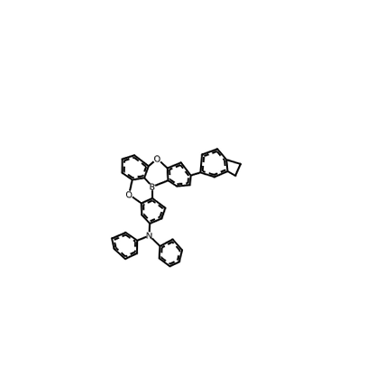 c1ccc(N(c2ccccc2)c2ccc3c(c2)Oc2cccc4c2B3c2ccc(-c3ccc5c(c3)CC5)cc2O4)cc1